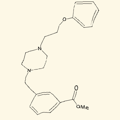 COC(=O)c1cccc(CN2CCN(CCOc3ccccc3)CC2)c1